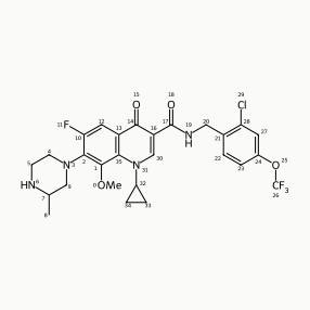 COc1c(N2CCNC(C)C2)c(F)cc2c(=O)c(C(=O)NCc3ccc(OC(F)(F)F)cc3Cl)cn(C3CC3)c12